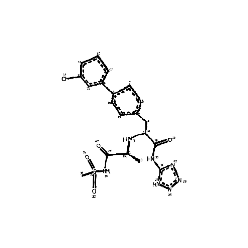 C[C@H](N[C@@H](Cc1ccc(-c2cccc(Cl)c2)cc1)C(=O)Nc1nnn[nH]1)C(=O)NS(C)(=O)=O